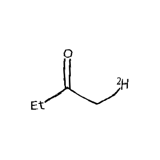 [2H]CC(=O)CC